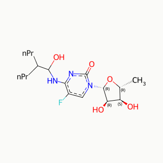 CCCC(CCC)C(O)Nc1nc(=O)n([C@@H]2O[C@H](C)[C@@H](O)[C@H]2O)cc1F